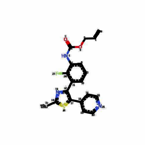 C=CCOC(=O)Nc1cccc(-c2nc(C(C)(C)C)sc2-c2ccncc2)c1F